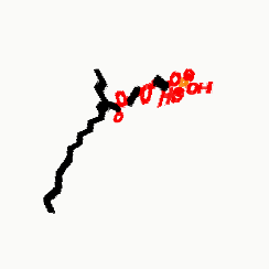 CCCCCCCCCCCCC(CCC)C(=O)OCCOCCOP(=O)(O)O